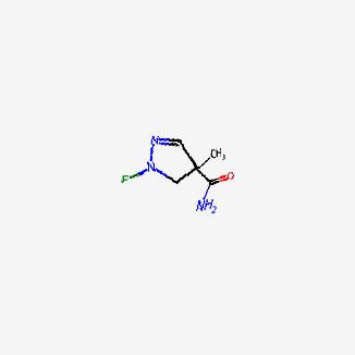 CC1(C(N)=O)C=NN(F)C1